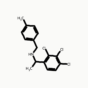 Cc1ccc(CNC(C)c2ccc(Cl)c(Cl)c2Cl)cc1